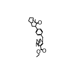 CCOC(=O)c1cn(Cc2ccc(C3CC4CCCN4C3=O)cc2)nn1